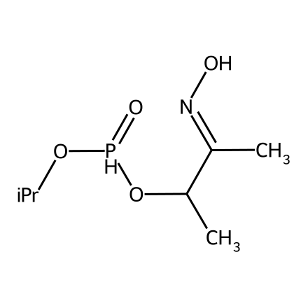 CC(=NO)C(C)O[PH](=O)OC(C)C